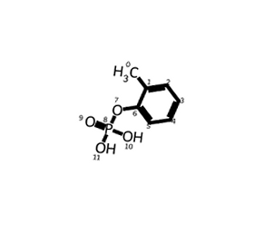 Cc1ccccc1OP(=O)(O)O